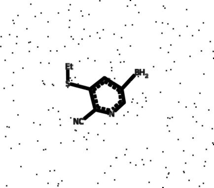 Bc1cnc(C#N)c(SCC)c1